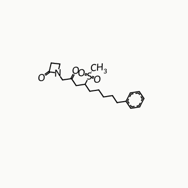 CS(=O)(=O)C(CCCCCc1ccccc1)CC(=O)CN1CCC1=O